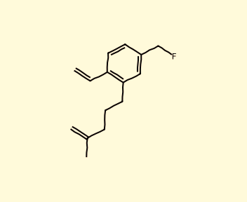 C=Cc1ccc(CF)cc1CCCC(=C)C